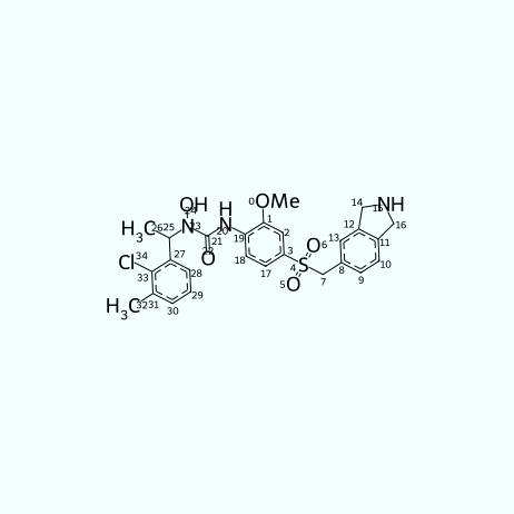 COc1cc(S(=O)(=O)Cc2ccc3c(c2)CNC3)ccc1NC(=O)N(O)C(C)c1cccc(C)c1Cl